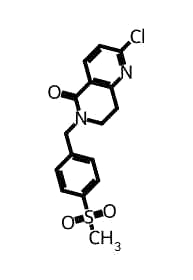 CS(=O)(=O)c1ccc(CN2CCc3nc(Cl)ccc3C2=O)cc1